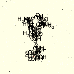 COc1cccc2c1C(=O)c1c(O)c3c(c(O)c1C2=O)C[C@@](O)(C(=O)CO)C[C@@H]3O[C@H]1C[C@H](NC(=O)OCc2ccc(NC(=O)[C@H](CC(N)=O)NC(=O)[C@H](C)NC(=O)[C@H](C)NC(=O)C(CC(=O)O)C(=O)N[C@@H](C)C(=O)N[C@@H](C)C(=O)N[C@@H](CC(N)=O)C(=O)Nc3ccc(COC(=O)N4C5[C@@H]4CN4C6=C(C(=O)C(N)=C(C)C6=O)[C@@H](COC(N)=O)[C@@]54OC)cc3)cc2)[C@H](O)[C@H](C)O1